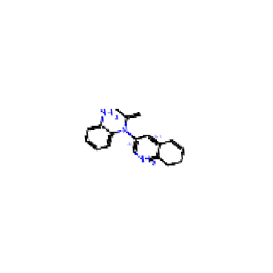 C=C1CCC=C/C1=C/C(=C\N)N(C(=C)C)c1ccccc1N